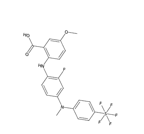 COc1ccc(Nc2ccc(N(C)c3ccc(S(F)(F)(F)(F)F)cc3)cc2F)c(C(=O)O)c1